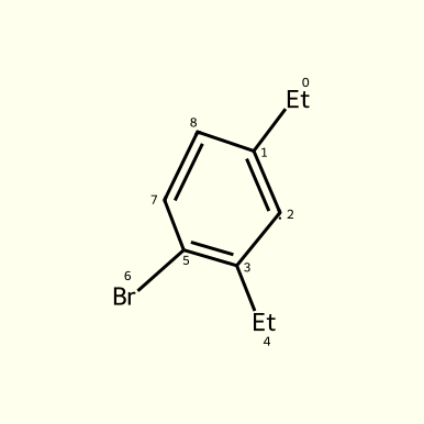 CCc1[c]c(CC)c(Br)cc1